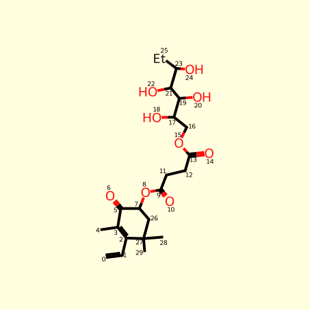 C=CC1=C(C)C(=O)C(OC(=O)CCC(=O)OCC(O)C(O)C(O)C(O)CC)CC1(C)C